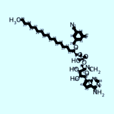 C=N[C@]1(COP(=O)(O)OC[C@@H](CCCCCCCCCCCCCCCCC)OCc2cc(F)cc(C#N)c2)O[C@@H](c2ccc3c(N)ncnn23)[C@H](O)[C@@H]1O